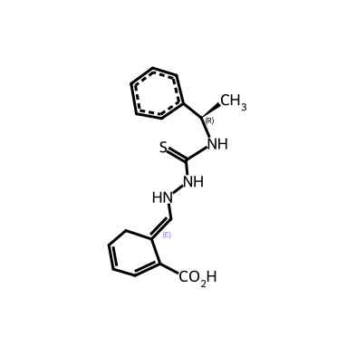 C[C@@H](NC(=S)NN/C=C1\CC=CC=C1C(=O)O)c1ccccc1